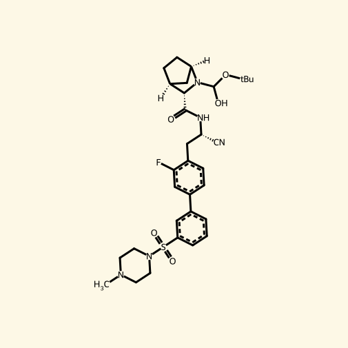 CN1CCN(S(=O)(=O)c2cccc(-c3ccc(C[C@@H](C#N)NC(=O)[C@@H]4[C@H]5CC[C@H](C5)N4C(O)OC(C)(C)C)c(F)c3)c2)CC1